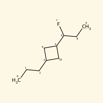 CCCC1CC(C(F)CC)C1